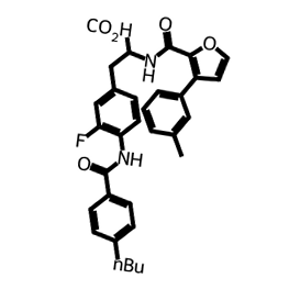 CCCCc1ccc(C(=O)Nc2ccc(CC(NC(=O)c3occc3-c3cccc(C)c3)C(=O)O)cc2F)cc1